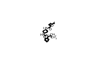 CN(C)c1nc(N[C@H]2CC[C@@H](NC(=O)c3ccc(I)o3)CC2)nc2ccccc12